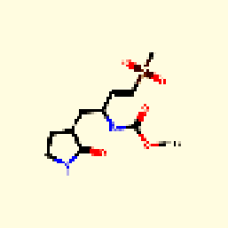 CC(C)(C)OC(=O)NC(/C=C/S(C)(=O)=O)C[C@@H]1CCNC1=O